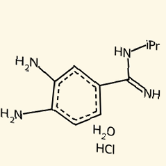 CC(C)NC(=N)c1ccc(N)c(N)c1.Cl.O